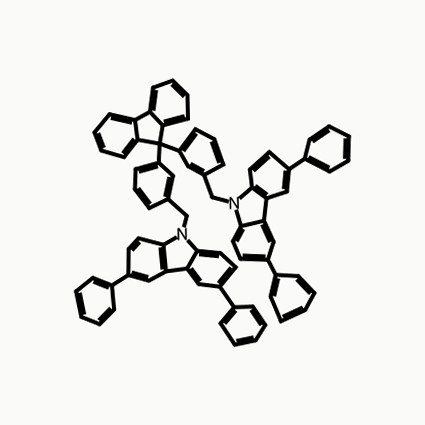 c1ccc(-c2ccc3c(c2)c2cc(-c4ccccc4)ccc2n3Cc2cccc(C3(c4cccc(Cn5c6ccc(-c7ccccc7)cc6c6cc(-c7ccccc7)ccc65)c4)c4ccccc4-c4ccccc43)c2)cc1